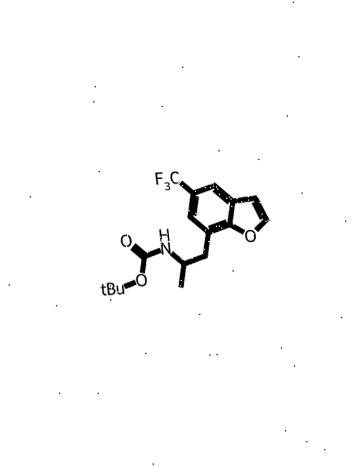 CC(Cc1cc(C(F)(F)F)cc2ccoc12)NC(=O)OC(C)(C)C